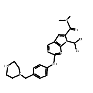 CCC(CC)n1c(C(=O)N(C)C)cc2cnc(Nc3ccc(CN4CCNCC4)cc3)nc21